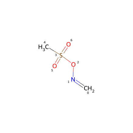 C=NOS(C)(=O)=O